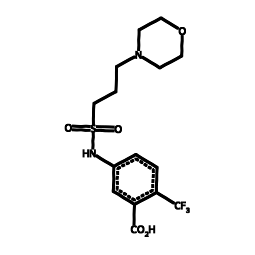 O=C(O)c1cc(NS(=O)(=O)CCCN2CCOCC2)ccc1C(F)(F)F